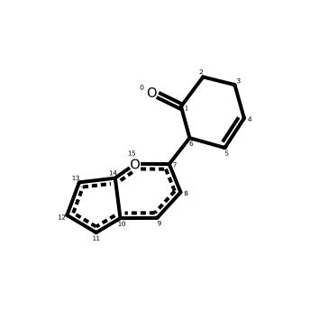 O=C1CCC=CC1c1ccc2cccc-2o1